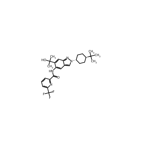 CC(C)(O)c1cc2nn([C@H]3CC[C@H](C(C)(C)C)CC3)cc2cc1NC(=O)c1cccc(C(F)(F)F)n1